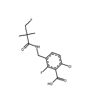 CC(C)(CF)C(=O)NCc1ccc(Cl)c(C(=O)O)c1F